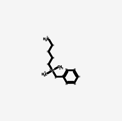 C[N+](C)(CCCC[SiH3])Cc1ccccc1